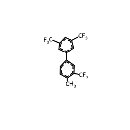 Cc1ccc(-c2cc(C(F)(F)F)cc(C(F)(F)F)c2)cc1C(F)(F)F